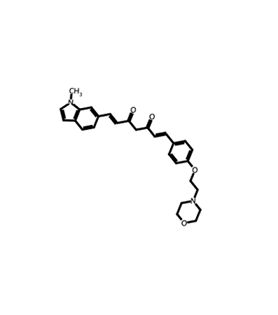 Cn1ccc2ccc(/C=C/C(=O)CC(=O)/C=C/c3ccc(OCCN4CCOCC4)cc3)cc21